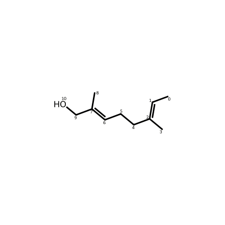 CC=C(C)CC/C=C(\C)CO